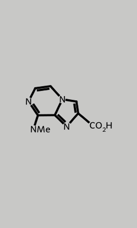 CNc1nccn2cc(C(=O)O)nc12